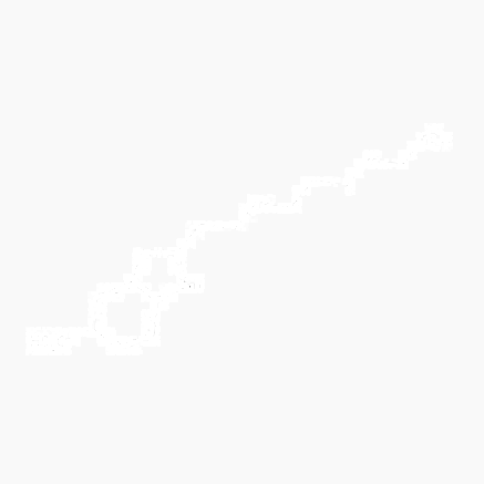 CCCCCCCCCCCCCCCCCCc1cc2cc(C(=O)O)ccc2[nH]1